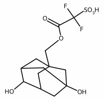 O=C(OCC12CC3CC(O)(CC(C1)C3O)C2)C(F)(F)S(=O)(=O)O